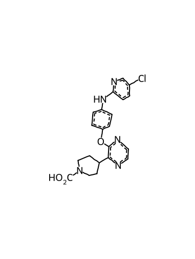 O=C(O)N1CCC(c2nccnc2Oc2ccc(Nc3ccc(Cl)cn3)cc2)CC1